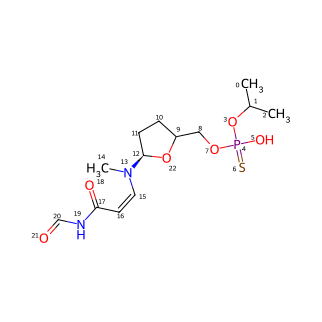 CC(C)OP(O)(=S)OCC1CC[C@H](N(C)/C=C\C(=O)NC=O)O1